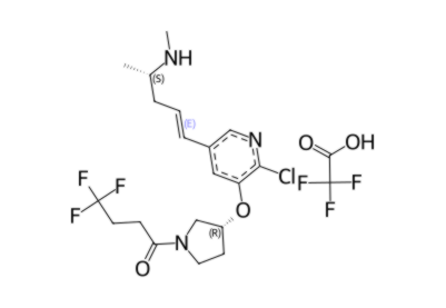 CN[C@@H](C)C/C=C/c1cnc(Cl)c(O[C@@H]2CCN(C(=O)CCC(F)(F)F)C2)c1.O=C(O)C(F)(F)F